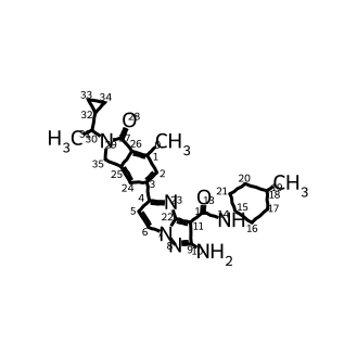 Cc1cc(-c2ccn3nc(N)c(C(=O)NC4CCC(C)CC4)c3n2)cc2c1C(=O)N(C(C)C1CC1)C2